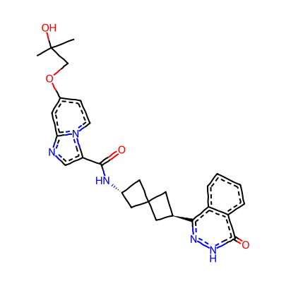 CC(C)(O)COc1ccn2c(C(=O)N[C@H]3CC4(C3)C[C@H](c3n[nH]c(=O)c5ccccc53)C4)cnc2c1